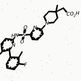 Cc1c(F)cccc1-c1nc(NS(=O)(=O)c2cccc(N3CCC(C)(CC(=O)O)CC3)n2)ccc1C(F)(F)F